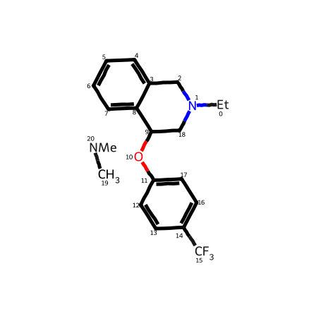 CCN1Cc2ccccc2C(Oc2ccc(C(F)(F)F)cc2)C1.CNC